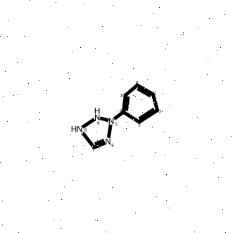 [c]1cccc(N2N=CNN2)c1